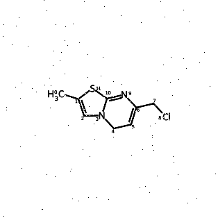 CC1=CN2CC=C(CCl)N=C2S1